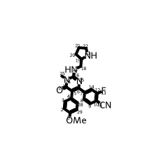 COc1ccc(-c2c(-c3ccc(C#N)c(F)c3)nc(NCC3CCCN3)n(C)c2=O)cc1